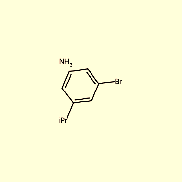 CC(C)c1cccc(Br)c1.N